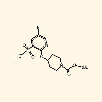 CC(C)(C)OC(=O)N1CCC(Oc2ncc(Br)cc2S(C)(=O)=O)CC1